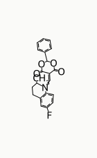 CC1CCc2cc(F)ccc2N1C=C1C(=O)OC(c2ccccc2)OC1=O